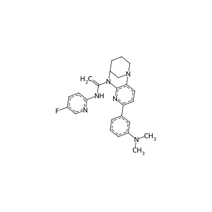 C=C(Nc1ccc(F)cn1)N1c2nc(-c3cccc(N(C)C)c3)ccc2N2CCCC1C2